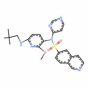 COc1nc(NCC(C)(C)C)ccc1N(c1ccncn1)S(=O)(=O)c1ccc2cnccc2c1